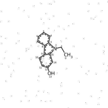 CCn1c2ccccc2c2ccc(O)cc21